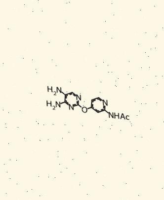 CC(=O)Nc1cc(Oc2ncc(N)c(N)n2)ccn1